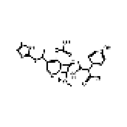 CO[C@@]1(NC(=O)C(C(=O)O)c2ccc(O)cc2)C(=O)N2C(OC(=O)O)=C(C(C)Sc3nnn[nH]3)CO[C@@H]21